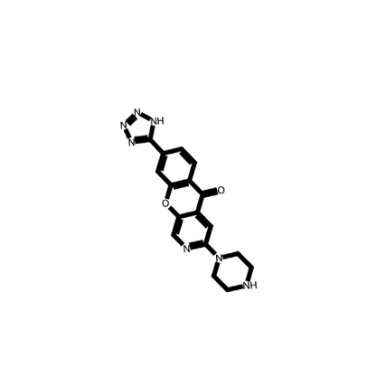 O=c1c2ccc(-c3nnn[nH]3)cc2oc2cnc(N3CCNCC3)cc12